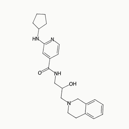 O=C(NCC(O)CN1CCc2ccccc2C1)c1ccnc(NC2CCCC2)c1